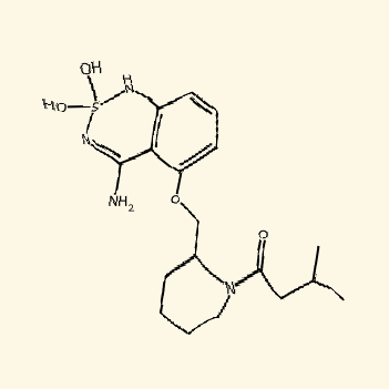 CC(C)CC(=O)N1CCCCC1COc1cccc2c1C(N)=NS(O)(O)N2